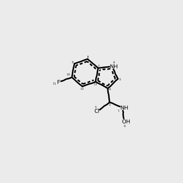 ONC(Cl)c1c[nH]c2ccc(F)cc12